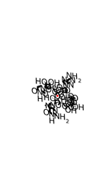 CO[C@@H]1[C@H](OP(=O)(O)OC[C@H]2O[C@@H](n3ccc(=O)[nH]c3=O)[C@H](O)[C@@H]2O)[C@@H](COP(=O)(O)OP(=O)(O)OP(=O)(O)OC[C@H]2O[C@@H](n3c[n+](C)c4c(=O)[nH]c(N)nc43)[C@H](O)[C@@H]2CO)O[C@H]1n1cnc2c(N)ncnc21